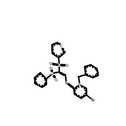 O=S(=O)(C(=C/N=c1/ccc(Br)cn1Cc1ccccc1)S(=O)(=O)c1ccccc1)c1ccccc1